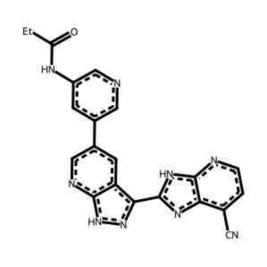 CCC(=O)Nc1cncc(-c2cnc3[nH]nc(-c4nc5c(C#N)ccnc5[nH]4)c3c2)c1